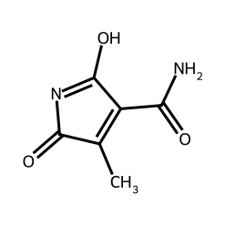 CC1=C(C(N)=O)C(O)=NC1=O